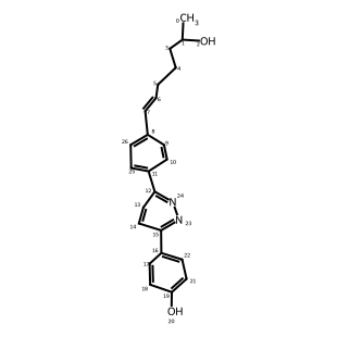 CC(O)CCC/C=C/c1ccc(-c2ccc(-c3ccc(O)cc3)nn2)cc1